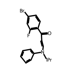 CC(C)N(C=CC(=O)c1ccc(Br)cc1F)c1ccccc1